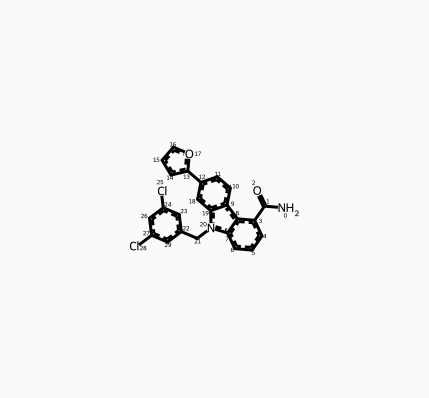 NC(=O)c1cccc2c1c1[c]cc(-c3ccco3)cc1n2Cc1cc(Cl)cc(Cl)c1